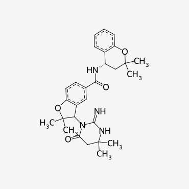 CC1(C)CC(=O)N(C2c3cc(C(=O)N[C@H]4CC(C)(C)Oc5ccccc54)ccc3OC2(C)C)C(=N)N1